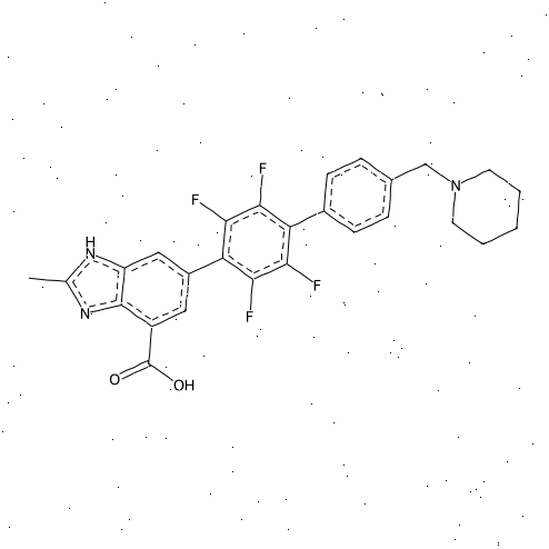 Cc1nc2c(C(=O)O)cc(-c3c(F)c(F)c(-c4ccc(CN5CCCCC5)cc4)c(F)c3F)cc2[nH]1